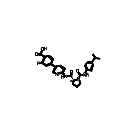 CC(C)c1ccc(NC(=O)N2CCC[C@@H]2C(=O)Nc2ccc(-c3ccc(C(=O)O)c(F)c3)cn2)cc1